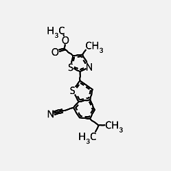 COC(=O)c1sc(-c2cc3cc(C(C)C)cc(C#N)c3s2)nc1C